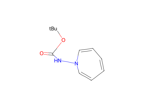 CC(C)(C)OC(=O)NN1C=CC=CC=C1